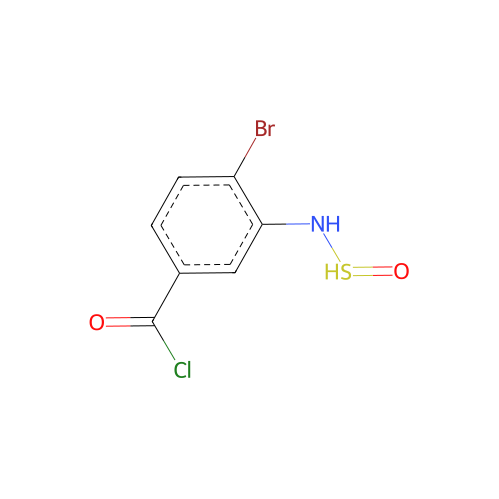 O=[SH]Nc1cc(C(=O)Cl)ccc1Br